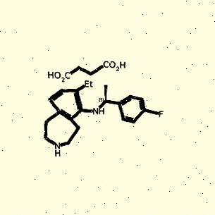 CCc1ccc2c(c1N[C@@H](C)c1ccc(F)cc1)CCNCC2.O=C(O)CCC(=O)O